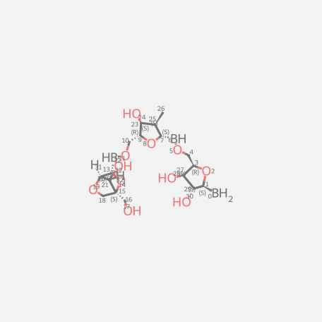 B[C@@H]1O[C@H](COB[C@@H]2O[C@H](COB[C@@H]3O[C@@]4(CO)CO[C@@H]3[C@@H]4O)[C@@H](O)[C@H]2C)[C@H](O)[C@H]1O